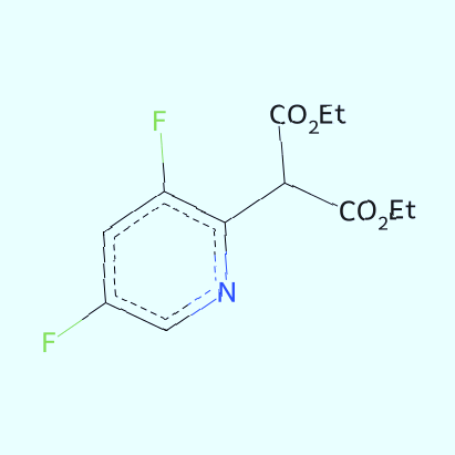 CCOC(=O)C(C(=O)OCC)c1ncc(F)cc1F